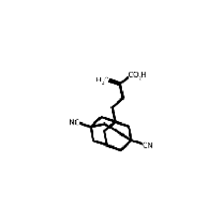 C=C(CCC12CC3CC(C#N)(CC(C#N)(C3)C1)C2)C(=O)O